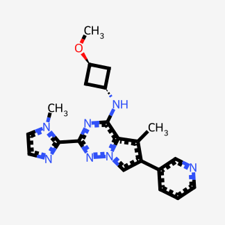 CO[C@H]1C[C@H](Nc2nc(-c3nccn3C)nn3cc(-c4cccnc4)c(C)c23)C1